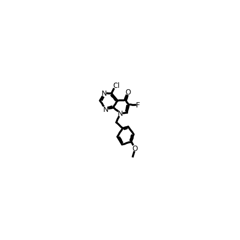 COc1ccc(Cn2cc(F)c(=O)c3c(Cl)ncnc32)cc1